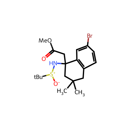 COC(=O)CC1(N[S+]([O-])C(C)(C)C)CC(C)(C)Cc2ccc(Br)cc21